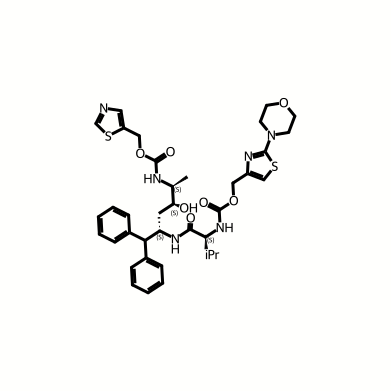 CC(C)[C@H](NC(=O)OCc1csc(N2CCOCC2)n1)C(=O)N[C@@H](C[C@H](O)[C@H](C)NC(=O)OCc1cncs1)C(c1ccccc1)c1ccccc1